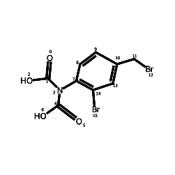 O=C(O)N(C(=O)O)c1ccc(CBr)cc1Br